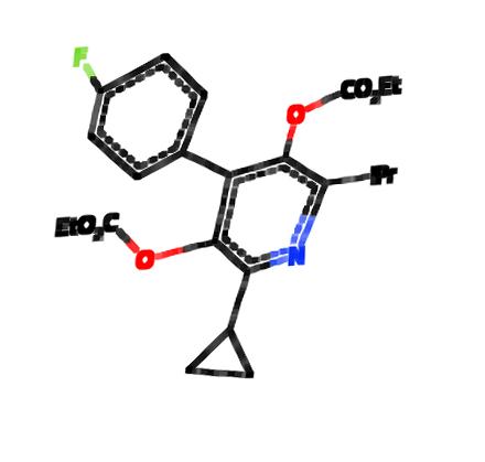 CCOC(=O)Oc1c(C(C)C)nc(C2CC2)c(OC(=O)OCC)c1-c1ccc(F)cc1